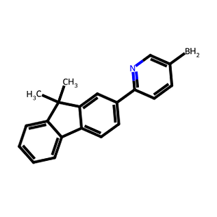 Bc1ccc(-c2ccc3c(c2)C(C)(C)c2ccccc2-3)nc1